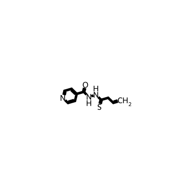 C=CCC(=S)NNC(=O)c1ccncc1